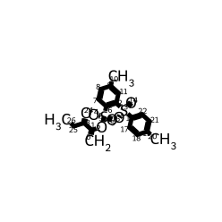 C=C(OS(=O)(=O)c1ccc(C)cc1S(=O)(=O)c1ccc(C)cc1)C(=O)CC